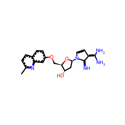 Cc1ccc2ccc(OC[C@H]3O[C@@H](N4C=CC(=C(N)N)C4=N)C[C@@H]3O)cc2n1